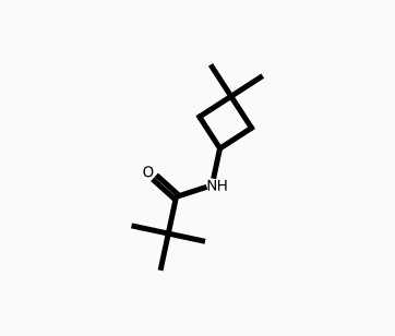 CC1(C)CC(NC(=O)C(C)(C)C)C1